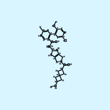 COc1cnc(Cl)cc1-c1cc(C)ncc1C(=O)Nc1nc2c(s1)CN(C(=O)C1CC3(CC(OC)C3)C1)C2